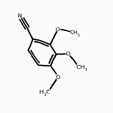 COc1ccc(C#N)c(OC)c1OC